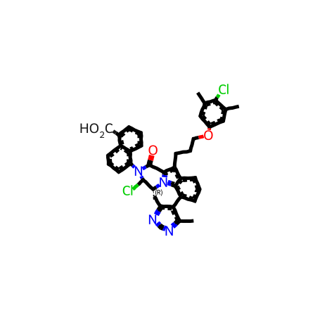 Cc1cc(OCCCc2c3n(c4c(-c5c(C)ncnc5C)cccc24)[C@H](C)C(Cl)N(c2cccc4c(C(=O)O)cccc24)C3=O)cc(C)c1Cl